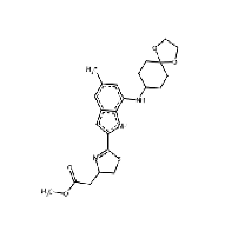 COC(=O)CC1CSC(c2cc3cc(C)cc(NC4CCC5(CC4)OCCO5)c3[nH]2)=N1